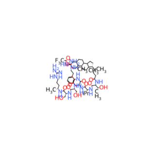 CC(C)[C@H](NC(=O)[C@@H](NC(=O)CC[C@@H](C)[C@H]1CCC2C3CCC4C[C@H](OC(=O)C(F)(F)F)CC[C@]4(C)C3CC[C@@]21C)[C@@H](C)O)C(=O)N[C@@H](Cc1ccccc1)C(=O)N[C@@H](CCCNC(=N)N)C(=O)N[C@@H](CO)C(=O)N[C@@H](CO)C(=O)N[C@H](C)CCCNC(=N)N